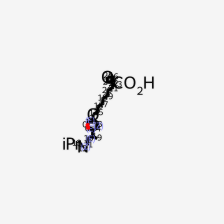 C\C=C(/C=C\C(=C/C)C(\C)=C\C=N/C(C)C)OCCCCCCCC1(C(=O)O)COC1